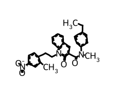 CCc1ccc(N(C)C(=O)c2cc3ccccc3n(CCc3ccc([N+](=O)[O-])cc3C)c2=O)cc1